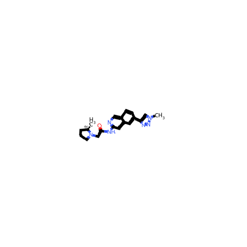 C[C@@H]1CCCN1CC(=O)Nc1cc2cc(-c3cn(C)nn3)ccc2cn1